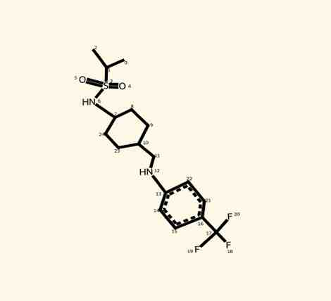 CC(C)S(=O)(=O)NC1CCC(CNc2ccc(C(F)(F)F)cc2)CC1